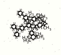 CC1=C2CC(C)(C2)c2cc3sc4c(c3cc21)B1c2cc(C(C)(C)C)ccc2N(c2c(C)cc(-c3ccccc3)cc2C)c2cc(-c3ccc(N(c5ccccc5)c5ccccc5)cc3)cc(c21)N4c1ccc2c(c1)C(C)(C)CCC2(C)C